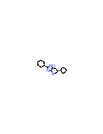 Fc1cccc(-c2nc3ncc(-c4ccccc4)cc3[nH]2)c1